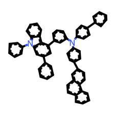 c1ccc(-c2ccc(N(c3ccc(-c4ccc5c(ccc6ccccc65)c4)cc3)c3cccc(-c4cc(-c5ccccc5)cc5c4c4ccccc4n5-c4ccccc4)c3)cc2)cc1